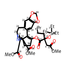 CC[Si](CC)(CC)OC(CCC(C)C)(CC(=O)OC)C(=O)OC1=C2c3cc4c(cc3CCN3CC(C(=O)OC)=C(C(=O)OC)C23CC1)OCO4